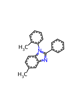 Cc1ccc2c(c1)nc(-c1ccccc1)n2-c1ccccc1C